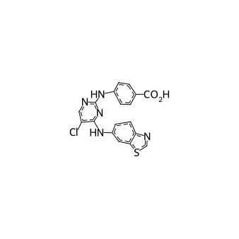 O=C(O)c1ccc(Nc2ncc(Cl)c(Nc3ccc4ncsc4c3)n2)cc1